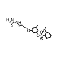 COc1ccccc1S(=O)(=O)Oc1cc(C)cc(OCCC=NNC(N)=S)c1